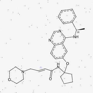 C[C@@H](Nc1ncnc2ccc(OC3(NC(=O)/C=C/CN4CCOCC4)CCCC3)cc12)c1ccccc1